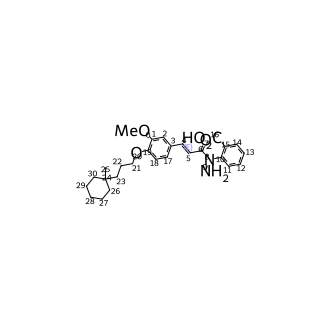 COc1cc(/C=C/C(=O)N(N)c2ccccc2C(=O)O)ccc1OCCCC1(C)CCCCC1